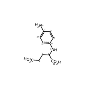 Nc1ccc(NC(CCC(=O)O)C(=O)O)cc1